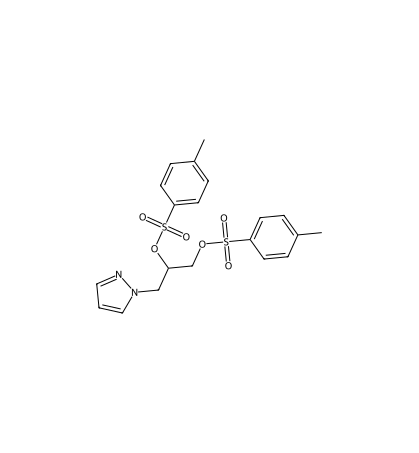 Cc1ccc(S(=O)(=O)OCC(Cn2cccn2)OS(=O)(=O)c2ccc(C)cc2)cc1